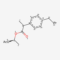 CC(=O)O[C@H](C)OC(=O)C(C)c1ccc(CC(C)C)cc1